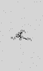 CCCCOC(=O)C(CCC)(CCCC)C(=O)O